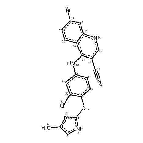 Cc1c[nH]c(Sc2ccc(Nc3c(C#N)cnc4cc(Br)ccc34)cc2Cl)n1